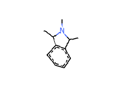 CC1c2ccccc2C(C)N1C